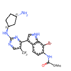 COC(=O)Nc1ccc2c(-c3nc(N[C@H]4CC[C@H](N)C4)ncc3C(F)(F)F)c[nH]c2c1Br